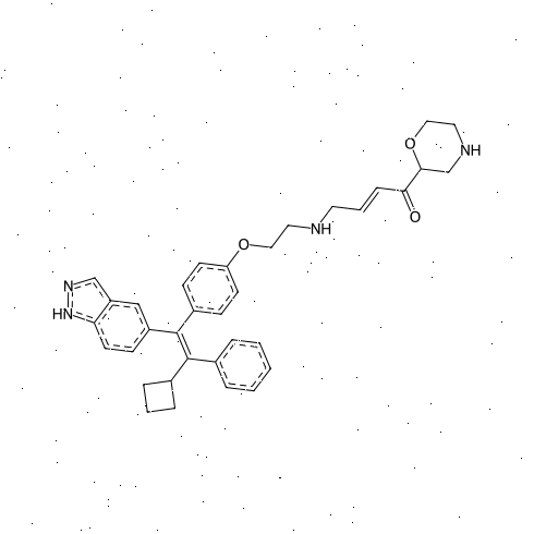 O=C(/C=C/CNCCOc1ccc(/C(=C(\c2ccccc2)C2CCC2)c2ccc3[nH]ncc3c2)cc1)C1CNCCO1